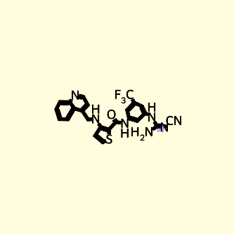 N#C/N=C(/N)Nc1cc(NC(=O)c2sccc2NCc2ccnc3ccccc23)cc(C(F)(F)F)c1